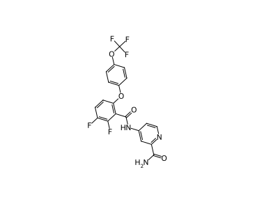 NC(=O)c1cc(NC(=O)c2c(Oc3ccc(OC(F)(F)F)cc3)ccc(F)c2F)ccn1